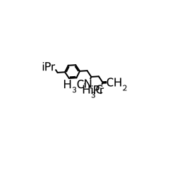 C=C(C)CC(Cc1ccc(CC(C)C)cc1)N(C)C(C)C